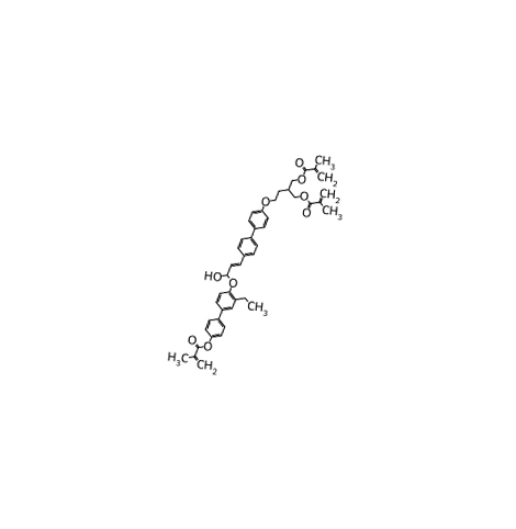 C=C(C)C(=O)OCC(CCOc1ccc(-c2ccc(/C=C/C(O)Oc3ccc(-c4ccc(OC(=O)C(=C)C)cc4)cc3CC)cc2)cc1)COC(=O)C(=C)C